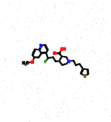 COc1ccc2nccc(C(F)CC[C@@H]3CCN(CCCc4ccsc4)C[C@@H]3C(=O)O)c2c1